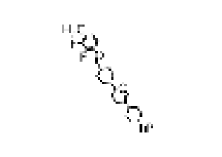 CCCC1CCC(C2=COC(C3CCC(COc4ccc(C)c(F)c4F)CC3)CC2)CC1